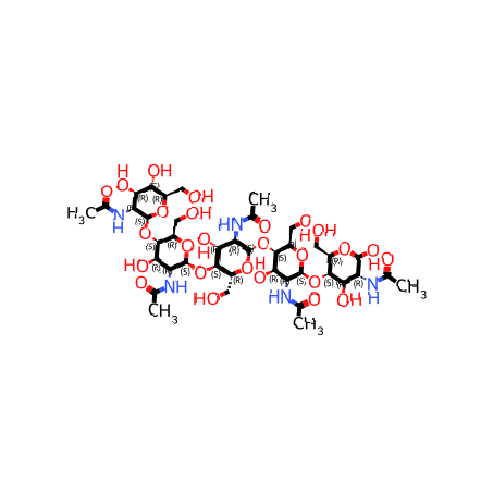 CC(=O)N[C@H]1[C@H](O[C@H]2[C@H](O)[C@@H](NC(C)=O)[C@H](O[C@H]3[C@H](O)[C@@H](NC(C)=O)C(O)O[C@@H]3CO)O[C@@H]2CO)O[C@H](CO)[C@@H](O[C@@H]2O[C@H](CO)[C@@H](O[C@@H]3O[C@H](CO)[C@@H](O)[C@H](O)[C@H]3NC(C)=O)[C@H](O)[C@H]2NC(C)=O)[C@@H]1O